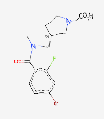 CN(C[C@@H]1CCN(C(=O)O)C1)C(=O)c1ccc(Br)cc1F